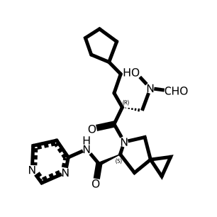 O=CN(O)C[C@@H](CCC1CCCC1)C(=O)N1CC2(CC2)C[C@H]1C(=O)Nc1ccncn1